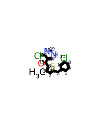 Cc1cc(Cc2cccc(Cl)c2)sc1C(=O)c1cncnc1Cl